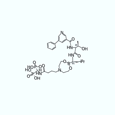 CC(C)C[C@H](NC(=O)C(NC(=O)c1cncc(-c2ccccc2)c1)[C@@H](C)O)B1OCCN(CCCC(=O)NC(P(=O)(O)O)P(=O)(O)O)CCO1